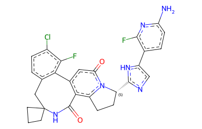 Nc1ccc(-c2cnc([C@@H]3CCc4c5c(cc(=O)n43)-c3c(ccc(Cl)c3F)CC3(CCC3)NC5=O)[nH]2)c(F)n1